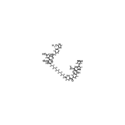 Cc1ncsc1-c1ccc(CNC(=O)[C@@H]2C[C@@H](O)CN2C(=O)[C@@H](NC(=O)CCCCCCCCCCCN2CCN(C(=O)c3ccc(Nc4nc(C5CC5)cn5c(-c6cn[nH]c6)cnc45)c(F)c3)CC2)C(C)(C)C)cc1